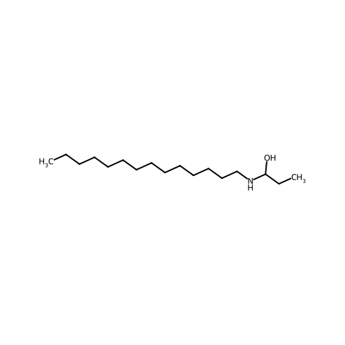 CCCCCCCCCCCCCCNC(O)CC